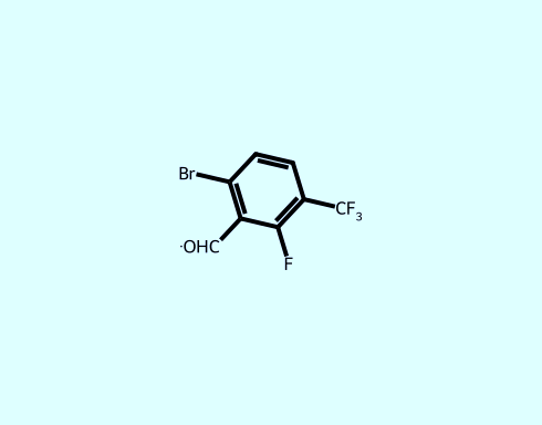 O=[C]c1c(Br)ccc(C(F)(F)F)c1F